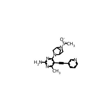 Cc1nc(N)nc(N2CC3CC2CN3[S+](C)[O-])c1C#Cc1cccnc1